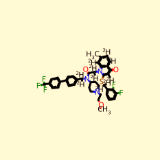 [2H]c1c(C)c([2H])c2c(c1[2H])c(=O)c([2H])c(SC([2H])([2H])c1cccc(F)c1F)n2C([2H])([2H])C(=O)N(C1CCN(CCOC)CC1)C([2H])([2H])c1ccc(-c2ccc(C(F)(F)F)cc2)cc1